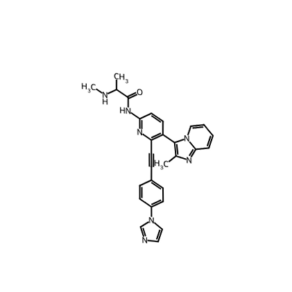 CNC(C)C(=O)Nc1ccc(-c2c(C)nc3ccccn23)c(C#Cc2ccc(-n3ccnc3)cc2)n1